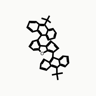 CC(C)(C)c1c2ccccc2c(-c2cccc3c2oc2cccc(-c4c5ccccc5c(C(C)(C)C)c5ccccc45)c23)c2ccccc12